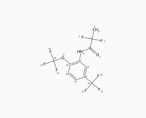 CC(F)(F)C(=O)Nc1cc(C(F)(F)F)ccc1OC(F)(F)F